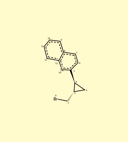 BrC[C@H]1C[C@@H]1c1ccc2ccccc2n1